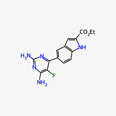 CCOC(=O)c1cc2cc(-c3nc(N)nc(N)c3F)ccc2[nH]1